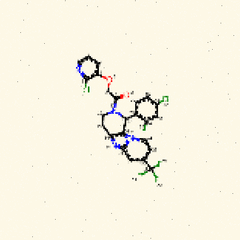 O=C(COc1cccnc1Cl)N1CCc2nc3cc(C(F)(F)F)ccn3c2C1c1ccc(Cl)cc1F